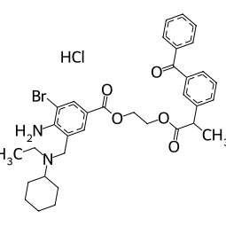 CCN(Cc1cc(C(=O)OCCOC(=O)C(C)c2cccc(C(=O)c3ccccc3)c2)cc(Br)c1N)C1CCCCC1.Cl